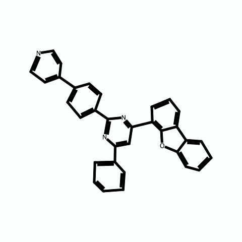 c1ccc(-c2cc(-c3cccc4c3oc3ccccc34)nc(-c3ccc(-c4ccncc4)cc3)n2)cc1